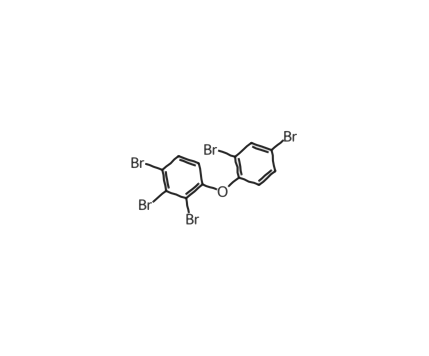 Brc1ccc(Oc2ccc(Br)c(Br)c2Br)c(Br)c1